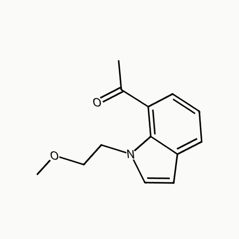 COCCn1ccc2cccc(C(C)=O)c21